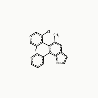 Cc1nc2ncnn2c(-c2ccccc2)c1-c1c(F)cccc1Cl